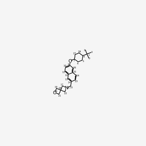 CC(C)(C)C1CCC(Oc2ccc3cc(CN4CC5(COC5)C4)ccc3c2)CC1